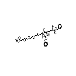 CC(C)(C)OC(=O)CCOCCOCCOCCOCCNC(=O)[C@H](CCCCNC(=O)OCC1C=CC=CC1)NC(=O)OCc1ccccc1